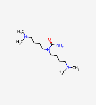 CN(C)CCCCN(CCCCN(C)C)C(N)=O